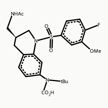 COc1cc(S(=O)(=O)N2C[C@H](CNC(C)=O)Cc3ccc(N(C(=O)O)C(C)(C)C)cc32)ccc1F